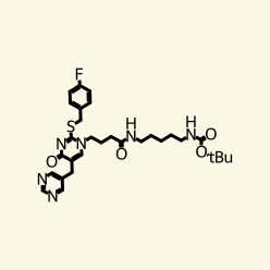 CC(C)(C)OC(=O)NCCCCCNC(=O)CCCn1cc(Cc2cncnc2)c(=O)nc1SCc1ccc(F)cc1